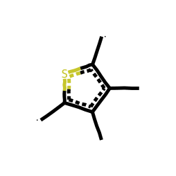 [CH2]c1sc([CH2])c(C)c1C